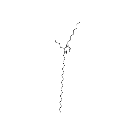 CCCCCCCCCCCCCCCCCCN1C=CN(CCCCCCCC)C1CCCC